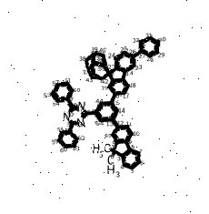 CC1(C)c2ccccc2-c2ccc(-c3cc(-c4ccc5c(c4)C4(c6ccc(-c7ccccc7)cc6-5)C5CC6CC(C5)CC4C6)cc(-c4nc(-c5ccccc5)nc(-c5ccccc5)n4)c3)cc21